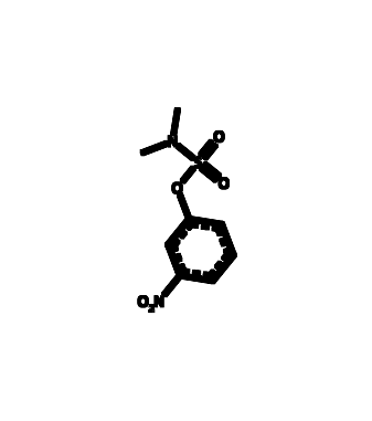 CN(C)S(=O)(=O)Oc1cccc([N+](=O)[O-])c1